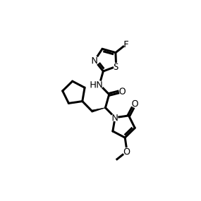 COC1=CC(=O)N([C@@H](CC2CCCC2)C(=O)Nc2ncc(F)s2)C1